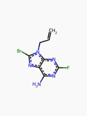 C=CCn1c(Br)nc2c(N)nc(F)nc21